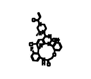 C=CC(=O)N1CCN(C2=NC(O)N3c4nc(c(Cl)cc42)-c2c(F)cccc2NC(=O)COc2cccc(C(C)C)c23)[C@H](C)C1